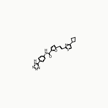 O=C(Nc1ccc(-c2nnn[nH]2)cc1)c1ccc(C=Cc2nc(C3CCC3)cs2)o1